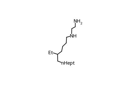 CCCCCCCCC(CC)CCCCNCCN